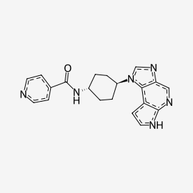 O=C(N[C@H]1CC[C@H](n2cnc3cnc4[nH]ccc4c32)CC1)c1ccncc1